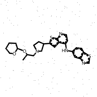 CC(CN1CCC(c2cc3c(Nc4ccc5scnc5c4)ccnc3s2)C1)OC1CCCCO1